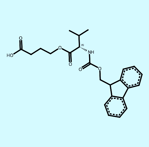 CC(C)[C@H](NC(=O)OCC1c2ccccc2-c2ccccc21)C(=O)OCCCC(=O)O